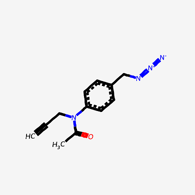 C#CCN(C(C)=O)c1ccc(CN=[N+]=[N-])cc1